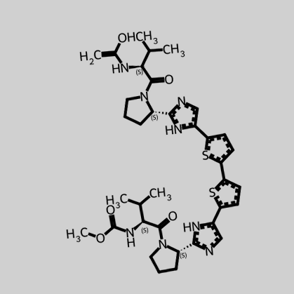 C=C(O)N[C@H](C(=O)N1CCC[C@H]1c1ncc(-c2ccc(-c3ccc(-c4cnc([C@@H]5CCCN5C(=O)[C@@H](NC(=O)OC)C(C)C)[nH]4)s3)s2)[nH]1)C(C)C